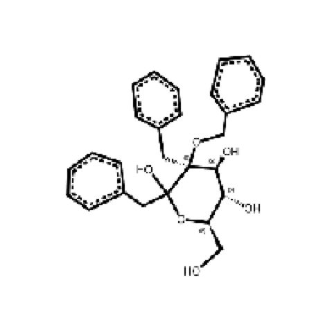 OC[C@H]1OC(O)(Cc2ccccc2)[C@@](Cc2ccccc2)(OCc2ccccc2)[C@@H](O)[C@@H]1O